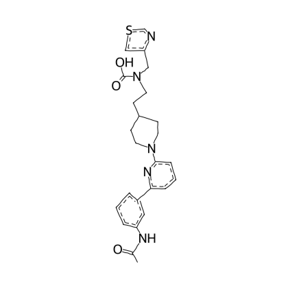 CC(=O)Nc1cccc(-c2cccc(N3CCC(CCN(Cc4cscn4)C(=O)O)CC3)n2)c1